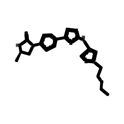 CCOCCn1cc(Nc2nc(-c3ccc(N4C[C@@H](C)NC4=O)cc3)cs2)cn1